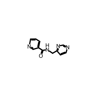 O=C(NCc1ccncn1)c1cccnc1